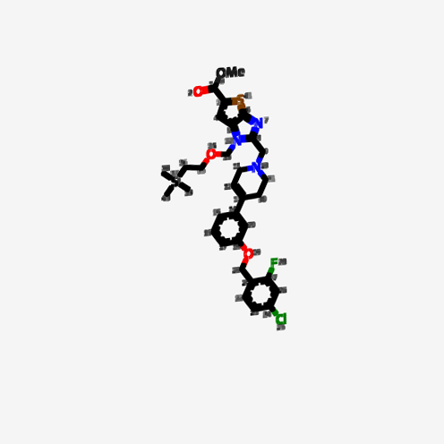 COC(=O)c1cc2c(nc(CN3CC=C(c4cccc(OCc5ccc(Cl)cc5F)c4)CC3)n2COCC[Si](C)(C)C)s1